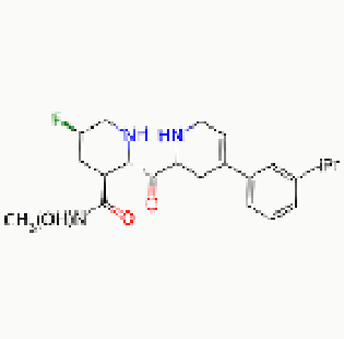 CC(C)c1cccc(C2=CCNC(C(=O)[C@H]3NC[C@H](F)C[C@@H]3C(=O)N(C)O)C2)c1